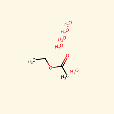 CCOC(C)=O.O.O.O.O.O